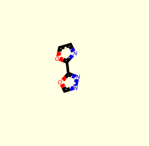 c1coc(-c2nnco2)n1